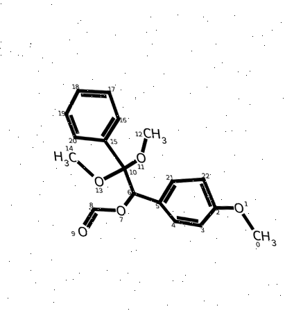 COc1ccc(C(O[C]=O)C(OC)(OC)c2ccccc2)cc1